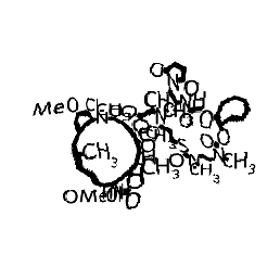 COc1cc2cc(c1Cl)N(C)C(=O)C[C@H](OC(=O)[C@H](C)N(C)C(=O)CCSC(=O)N(C)CCN(C)C(=O)OC1/C=C/CCCCC1OCC(=O)NCCN1C(=O)C=CC1=O)[C@]1(C)O[C@H]1[C@H](C)[C@@H]1C[C@@](O)(NC(=O)O1)[C@H](OC)/C=C/C=C(\C)C2